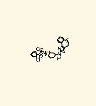 O=S(=O)(NC[C@H]1CC[C@H](Nc2nc3c(s2)CCSc2ccccc2-3)CC1)c1c(Cl)cccc1Cl